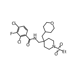 CCS(=O)(=O)N1CCC(CNC(=O)c2ccc(Cl)c(F)c2Cl)(CC2CCOCC2)CC1